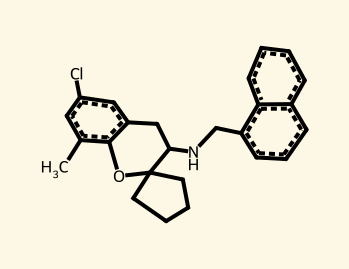 Cc1cc(Cl)cc2c1OC1(CCCC1)C(NCc1cccc3ccccc13)C2